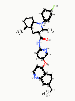 C=C1CCCC2=C1C=C(C(=O)Nc1ccc(Oc3ccnc4cc(CC)ccc34)cn1)C(=C)N2c1ccc(F)cc1